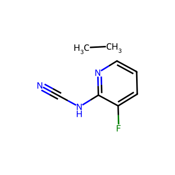 CC.N#CNc1ncccc1F